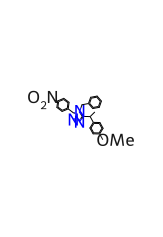 COc1ccc(C(C)c2nnc(-c3ccc([N+](=O)[O-])cc3)n2Cc2ccccc2)cc1